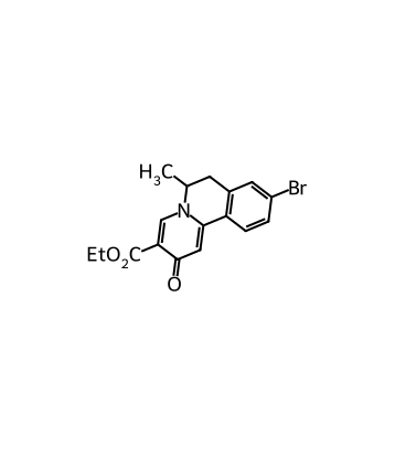 CCOC(=O)c1cn2c(cc1=O)-c1ccc(Br)cc1CC2C